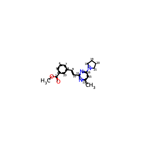 COC(=O)c1cccc(C=Cc2nc(C)cc(N3CCCC3)n2)c1